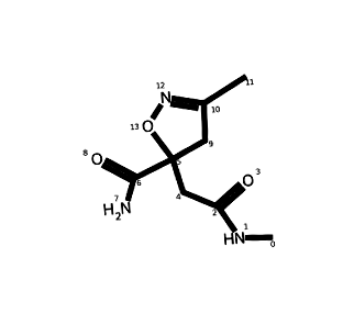 CNC(=O)CC1(C(N)=O)CC(C)=NO1